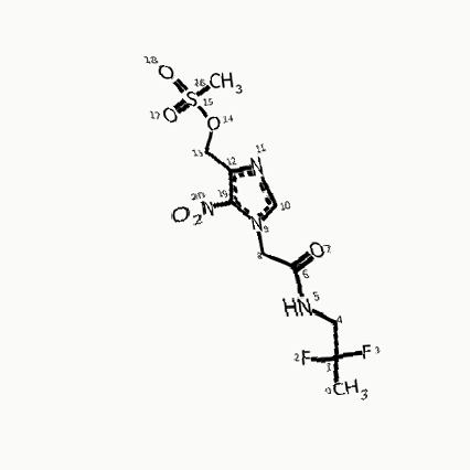 CC(F)(F)CNC(=O)Cn1cnc(COS(C)(=O)=O)c1[N+](=O)[O-]